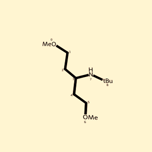 COCCC(CCOC)NC(C)(C)C